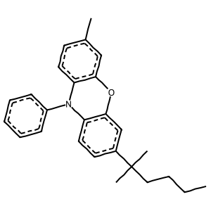 CCCCC(C)(C)c1ccc2c(c1)Oc1cc(C)ccc1N2c1ccccc1